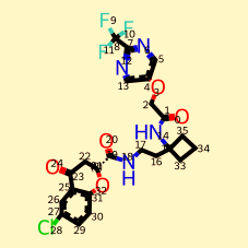 O=C(COc1cnc(C(F)(F)F)nc1)NC1(CCNC(=O)[C@H]2CC(=O)c3cc(Cl)ccc3O2)CCC1